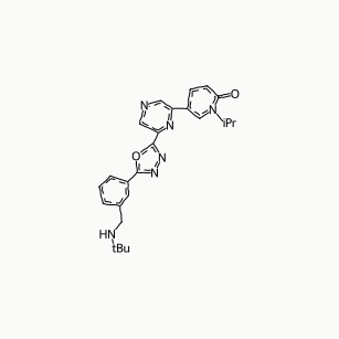 CC(C)n1cc(-c2cncc(-c3nnc(-c4cccc(CNC(C)(C)C)c4)o3)n2)ccc1=O